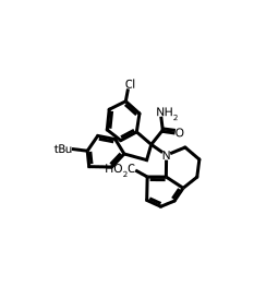 CC(C)(C)c1ccc(CC(C(N)=O)(c2cccc(Cl)c2)N2CCCc3cccc(C(=O)O)c32)cc1